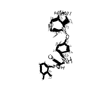 Cc1cccc(NC(=O)Nc2ccc(ON3C=NC=C4NNC=C43)cc2)c1C